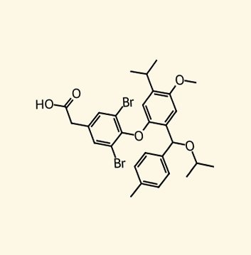 COc1cc(C(OC(C)C)c2ccc(C)cc2)c(Oc2c(Br)cc(CC(=O)O)cc2Br)cc1C(C)C